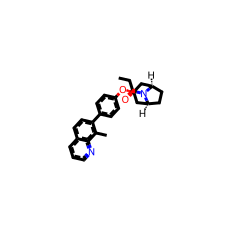 CCC(=O)N1[C@@H]2CC[C@H]1C[C@@H](Oc1ccc(-c3ccc4cccnc4c3C)cc1)C2